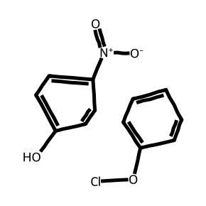 ClOc1ccccc1.O=[N+]([O-])c1ccc(O)cc1